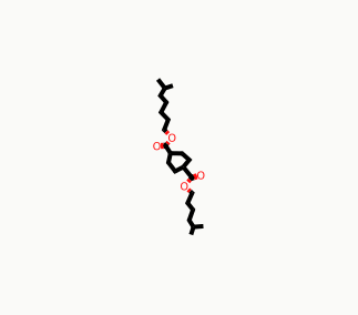 CC(C)CCCCCOC(=O)C1CCC(C(=O)OCCCCC(C)C)CC1